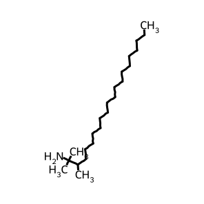 CCCCCCCCCCCCCCCCCCC(C)C(C)(C)N